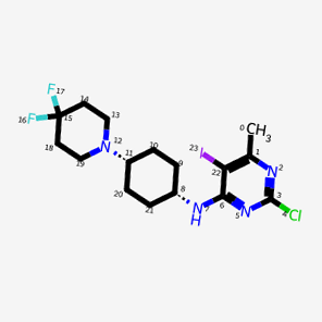 Cc1nc(Cl)nc(N[C@H]2CC[C@@H](N3CCC(F)(F)CC3)CC2)c1I